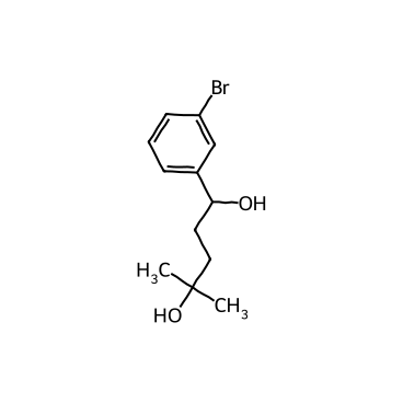 CC(C)(O)CCC(O)c1cccc(Br)c1